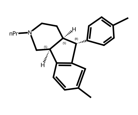 CCCN1CC[C@H]2[C@H](c3ccc(C)cc3)c3cc(C)ccc3[C@H]2C1